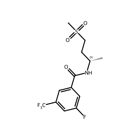 C[C@@H](CCS(C)(=O)=O)NC(=O)c1cc(F)cc(C(F)(F)F)c1